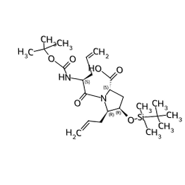 C=CC[C@H](NC(=O)OC(C)(C)C)C(=O)N1[C@H](CC=C)[C@H](O[Si](C)(C)C(C)(C)C)C[C@H]1C(=O)O